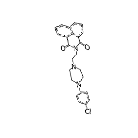 O=C1c2cccc3cccc(c23)C(=O)N1CCN1CCN(c2ccc(Cl)cc2)CC1